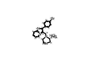 Brc1ccc(-c2nc3ccccn3c2CN2CCNCC2)cc1.Cl.Cl